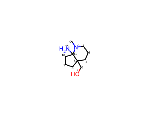 CN1CCCC2(CO)CCCC12N